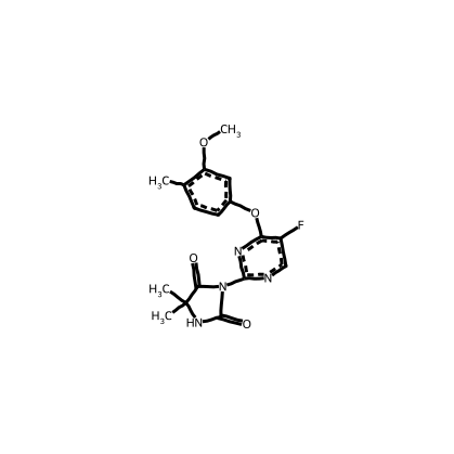 COc1cc(Oc2nc(N3C(=O)NC(C)(C)C3=O)ncc2F)ccc1C